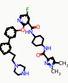 Cc1cc(C(=O)NC2CCC(NC(=O)c3cc(F)cnc3Oc3cccc(-c4cccc(CCN5CCNCC5)c4)c3)CC2)nn1C